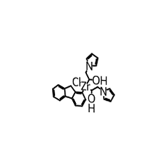 O[CH](Cn1cccc1)[Zr]([Cl])([c]1cccc2c1Cc1ccccc1-2)[CH](O)Cn1cccc1